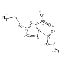 CCOC(=O)c1ccc(OCC)cc1[N+](=O)[O-]